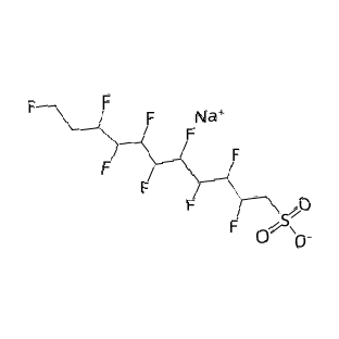 O=S(=O)([O-])CC(F)C(F)C(F)C(F)C(F)C(F)C(F)C(F)CCF.[Na+]